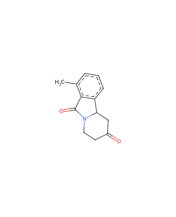 Cc1cccc2c1C(=O)N1CCC(=O)CC21